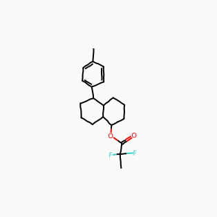 Cc1ccc(C2CCCC3C(OC(=O)C(C)(F)F)CCCC23)cc1